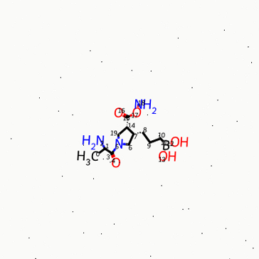 CC(N)C(=O)N1C[C@@H](CCCB(O)O)[C@@H](C(=O)ON)C1